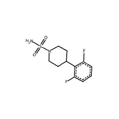 NS(=O)(=O)N1CCC(c2c(F)cccc2F)CC1